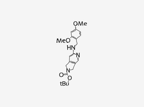 COc1ccc(CNc2cc3c(cn2)CN(C(=O)OC(C)(C)C)C3)c(OC)c1